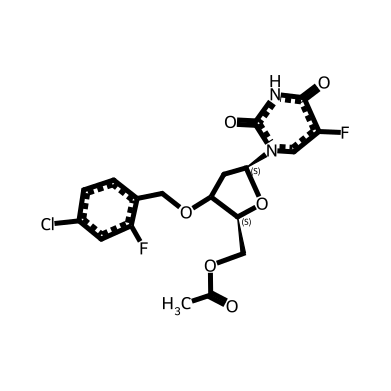 CC(=O)OC[C@@H]1O[C@H](n2cc(F)c(=O)[nH]c2=O)CC1OCc1ccc(Cl)cc1F